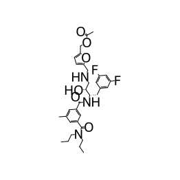 CCCN(CCC)C(=O)c1cc(C)cc(C(=O)N[C@@H](Cc2cc(F)cc(F)c2)[C@H](O)CNCc2ccc(COC(C)=O)o2)c1